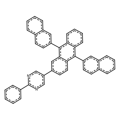 c1ccc(-c2ncc(-c3ccc4c(-c5ccc6ccccc6c5)c5ccccc5c(-c5ccc6ccccc6c5)c4c3)cn2)cc1